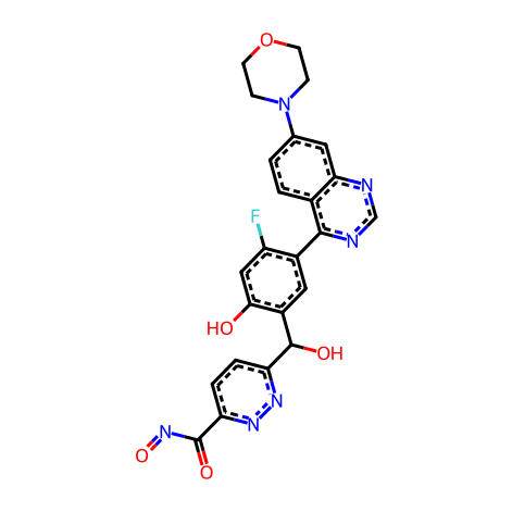 O=NC(=O)c1ccc(C(O)c2cc(-c3ncnc4cc(N5CCOCC5)ccc34)c(F)cc2O)nn1